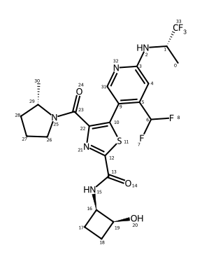 C[C@H](Nc1cc(C(F)F)c(-c2sc(C(=O)N[C@@H]3CC[C@@H]3O)nc2C(=O)N2CCC[C@@H]2C)cn1)C(F)(F)F